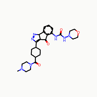 CN1CCN(C(=O)C2CCC(C3=C4C(=O)c5c(NC(=O)NN6CCOCC6)cccc5C4N=N3)CC2)CC1